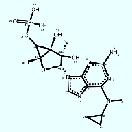 CN(c1nc(N)nc2c1ncn2[C@@H]1O[C@@H]2C(OP(=O)(O)O)[C@]2(O)[C@@]1(C)O)C1CC1